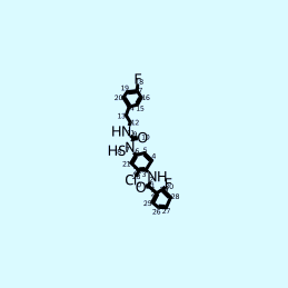 O=C(Nc1ccc(N(S)C(=O)NCCc2ccc(F)cc2)cc1Cl)c1ccccc1F